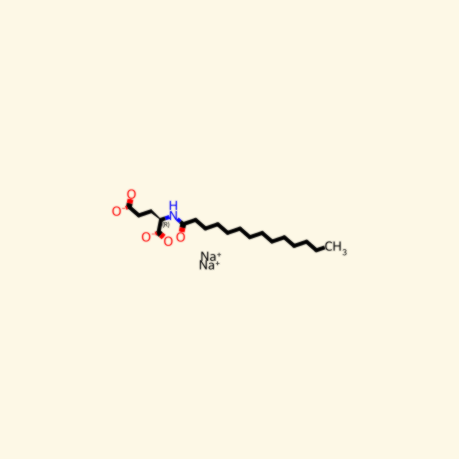 CCCCCCCCCCCCCC(=O)N[C@H](CCC(=O)[O-])C(=O)[O-].[Na+].[Na+]